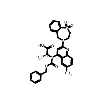 Cc1ccc2nc(N3CCS(=O)(=O)c4ccccc4C3)cc(N(C(=O)OCc3ccccc3)[C@@H](C)C(=O)O)c2c1